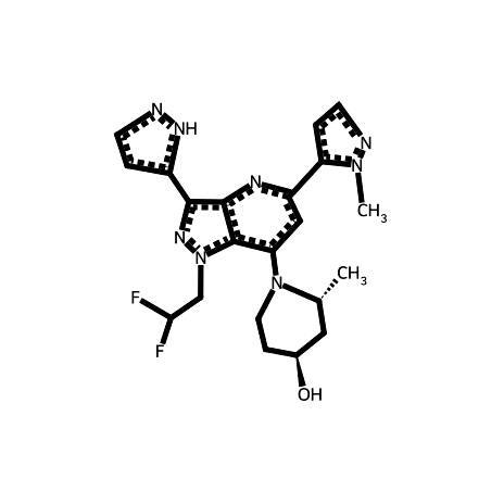 C[C@@H]1C[C@@H](O)CCN1c1cc(-c2ccnn2C)nc2c(-c3ccn[nH]3)nn(CC(F)F)c12